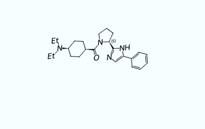 CCN(CC)[C@H]1CC[C@@H](C(=O)N2CCC[C@H]2c2ncc(-c3ccccc3)[nH]2)CC1